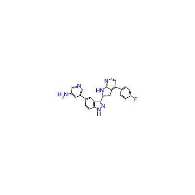 Nc1cncc(-c2ccc3[nH]nc(-c4cc5c(-c6ccc(F)cc6)ccnc5[nH]4)c3c2)c1